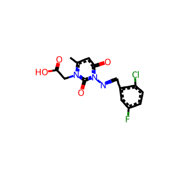 Cc1cc(=O)n(/N=C/c2cc(F)ccc2Cl)c(=O)n1CC(=O)O